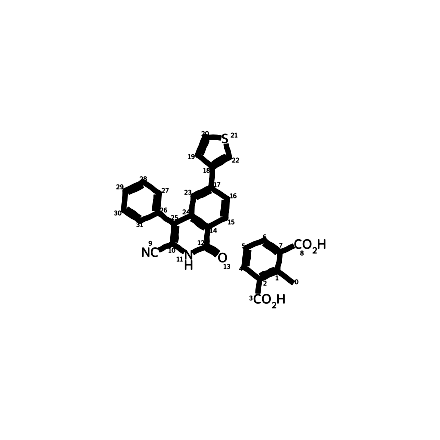 Cc1c(C(=O)O)cccc1C(=O)O.N#Cc1[nH]c(=O)c2ccc(-c3ccsc3)cc2c1-c1ccccc1